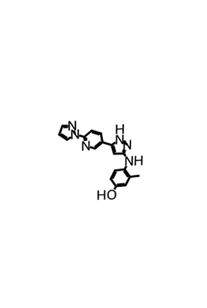 Cc1cc(O)ccc1Nc1cc(-c2ccc(-n3cccn3)nc2)[nH]n1